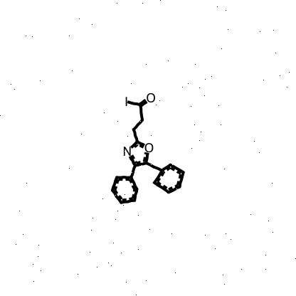 O=C(I)CCc1nc(-c2ccccc2)c(-c2ccccc2)o1